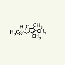 COCCC1C(C)=C(C)C(C)=C1C